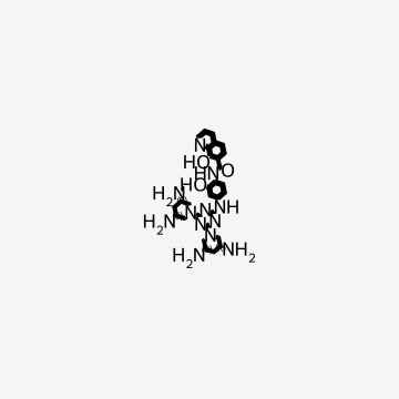 N[C@@H]1C[C@H](N)CN(c2nc(Nc3ccc(NC(=O)c4ccc5cccnc5c4O)c(O)c3)nc(N3C[C@H](N)C[C@H](N)C3)n2)C1